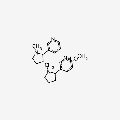 CN1CCCC1c1cccnc1.CN1CCCC1c1cccnc1.O.O